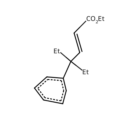 CCOC(=O)/C=C/C(CC)(CC)c1ccccc1